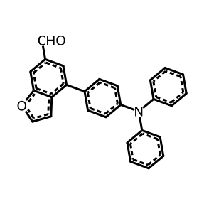 O=Cc1cc(-c2ccc(N(c3ccccc3)c3ccccc3)cc2)c2ccoc2c1